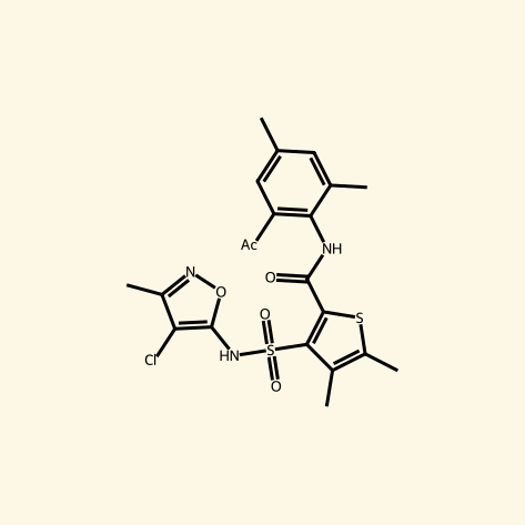 CC(=O)c1cc(C)cc(C)c1NC(=O)c1sc(C)c(C)c1S(=O)(=O)Nc1onc(C)c1Cl